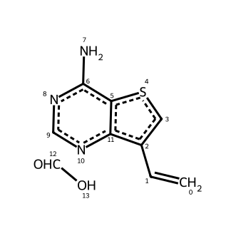 C=Cc1csc2c(N)ncnc12.O=CO